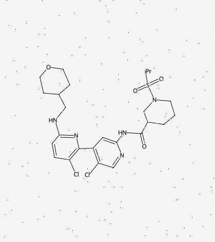 CC(C)S(=O)(=O)N1CCCC(C(=O)Nc2cc(-c3nc(NCC4CCOCC4)ccc3Cl)c(Cl)cn2)C1